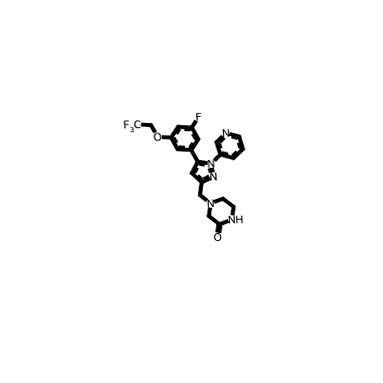 O=C1CN(Cc2cc(-c3cc(F)cc(OCC(F)(F)F)c3)n(-c3cccnc3)n2)CCN1